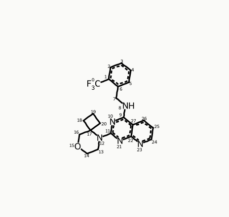 FC(F)(F)c1ccccc1CNc1nc(N2CCOCC23CCC3)nc2ncccc12